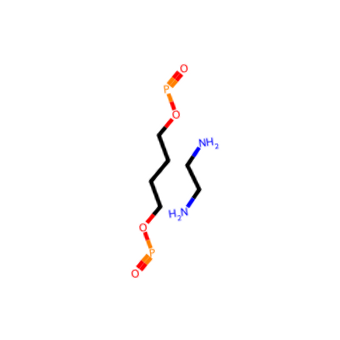 NCCN.O=POCCCCOP=O